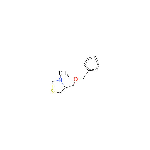 CN1CSCC1COCc1ccccc1